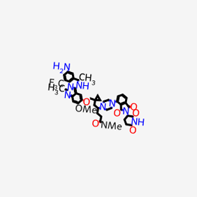 CNC(=O)CCC(CC1(COc2cc3c(N[C@H](C)c4cc(N)cc(C(F)(F)F)c4)nc(C)nc3cc2OC)CC1)N1CCN(c2cccc3c2C(=O)N(C2CCC(=O)NC2=O)C3=O)CC1